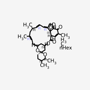 CC1=C[C@H]2C(=O)O[C@H]3C[C@@H](C/C=C(\C)C[C@@H](C)/C=C/C=C4\CO[C@H](C1=O)[C@@]42O)O[C@@]1(CC[C@H](C)[C@@H](C)O1)C3.CCCCCCC